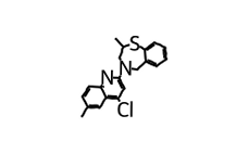 Cc1ccc2nc(N3Cc4ccccc4SC(C)C3)cc(Cl)c2c1